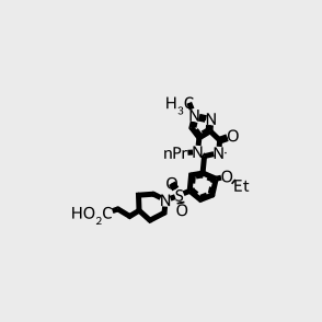 CCCN1c2cn(C)nc2C(=O)[N]C1c1cc(S(=O)(=O)N2CCC(CCC(=O)O)CC2)ccc1OCC